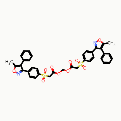 Cc1onc(-c2ccc(S(=O)(=O)CC(=O)OCOC(=O)CS(=O)(=O)c3ccc(-c4noc(C)c4-c4ccccc4)cc3)cc2)c1-c1ccccc1